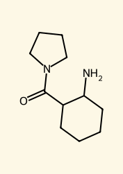 NC1CCCCC1C(=O)N1CCCC1